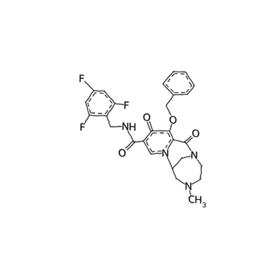 CN1CCN2CC(C1)n1cc(C(=O)NCc3c(F)cc(F)cc3F)c(=O)c(OCc3ccccc3)c1C2=O